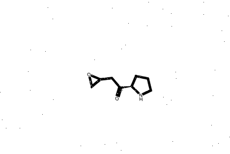 O=C(CC1CO1)[C@H]1CCCN1